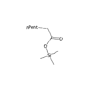 CCCCCCC(=O)O[Si](C)(C)C